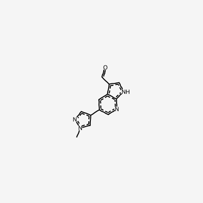 Cn1cc(-c2cnc3[nH]cc(C=O)c3c2)cn1